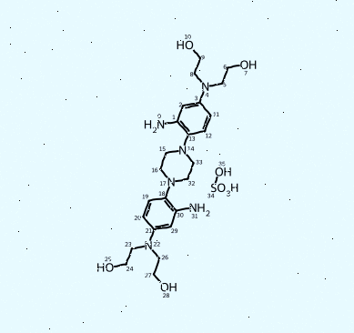 Nc1cc(N(CCO)CCO)ccc1N1CCN(c2ccc(N(CCO)CCO)cc2N)CC1.O=S(=O)(O)O